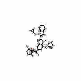 COc1cc(C(=O)N2C[C@H]3CC[C@@H]2[C@@H]3N)cc2nc(-c3cc4cccnc4n3CC3CC3)n(C[C@@H]3CCOC3)c12